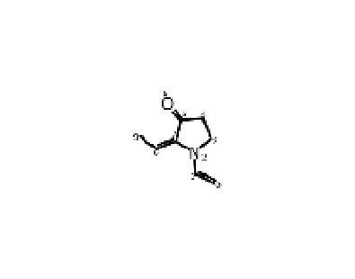 C=CN1CCC(=O)C1=CC